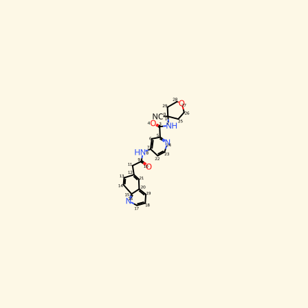 N#CC1(NC(=O)c2cc(NC(=O)Cc3ccc4ncccc4c3)ccn2)CCOCC1